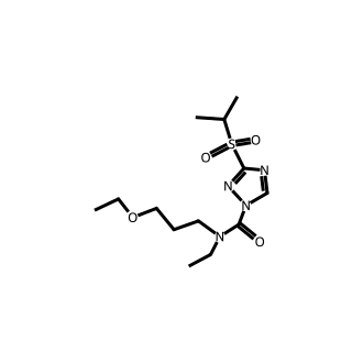 CCOCCCN(CC)C(=O)n1cnc(S(=O)(=O)C(C)C)n1